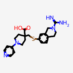 N=C(N)N1CCc2ccc(SCC3(C(=O)O)CCN(c4ccncc4)CC3)cc2C1